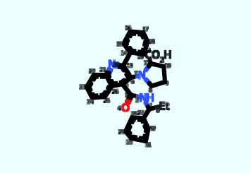 CCC(NC(=O)c1c(N2CCCC2C(=O)O)c(-c2ccccc2)nc2ccccc12)c1ccccc1